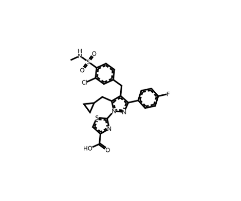 CNS(=O)(=O)c1ccc(Cc2c(-c3ccc(F)cc3)nn(-c3nc(C(=O)O)cs3)c2CC2CC2)cc1Cl